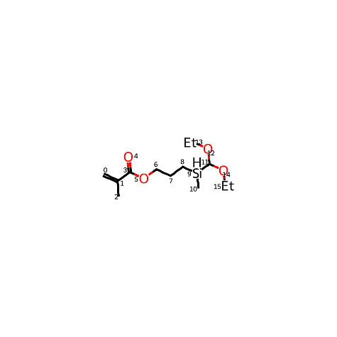 C=C(C)C(=O)OCCC[SiH](C)C(OCC)OCC